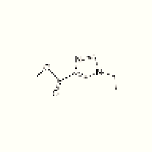 CCn1cnc(C(=O)OC)c1